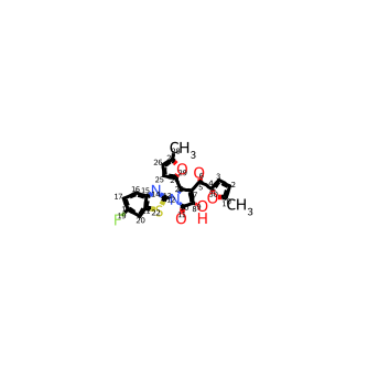 Cc1ccc(C(=O)C2=C(O)C(=O)N(c3nc4ccc(F)cc4s3)C2c2ccc(C)o2)o1